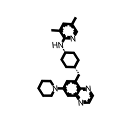 Cc1cnc(N[C@H]2CC[C@@H](Cc3cc(N4CCCCC4)cc4nccnc34)CC2)c(C)c1